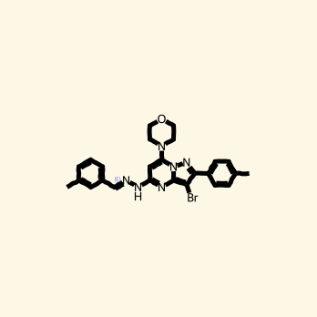 Cc1ccc(-c2nn3c(N4CCOCC4)cc(N/N=C/c4cccc(C)c4)nc3c2Br)cc1